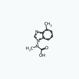 Cc1cccc2c1ncn2N(C)C(=O)O